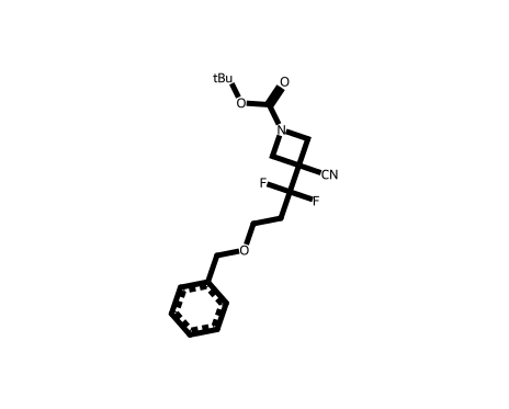 CC(C)(C)OC(=O)N1CC(C#N)(C(F)(F)CCOCc2ccccc2)C1